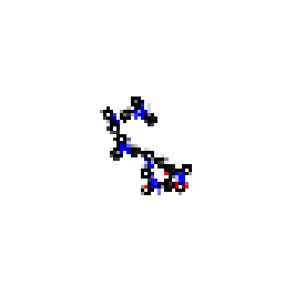 c1ccc(-c2nc(-c3ccc(-n4c5ccccc5c5ccc(-c6ccc7c(c6)c6ccccc6n7-c6ccc(-c7ccc8c9ccc(-c%10ccc%11c(c%10)c%10ccccc%10n%11-c%10ccccc%10)cc9n(-c9cccc(-c%10nc(-c%11ccccc%11)nc%11ccccc%10%11)c9)c8c7)cc6)cc54)cc3)c3ccccc3n2)cc1